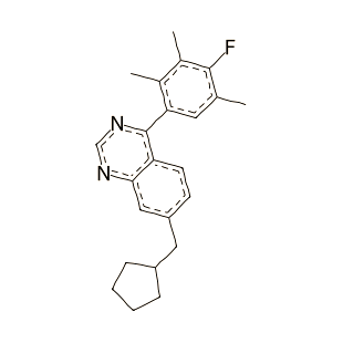 Cc1cc(-c2ncnc3cc(CC4CCCC4)ccc23)c(C)c(C)c1F